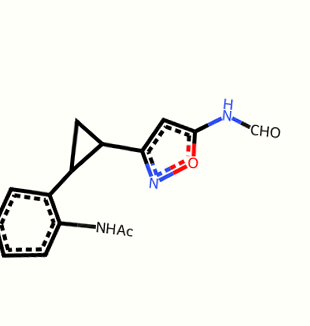 CC(=O)Nc1ccccc1C1CC1c1cc(NC=O)on1